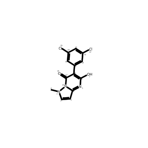 Cn1ccc2nc(O)c(-c3cc(Cl)cc(Cl)c3)c(=O)n21